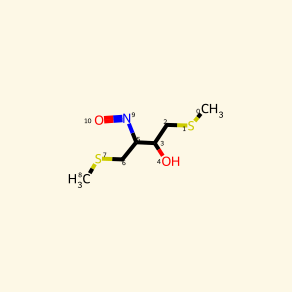 CSCC(O)C(CSC)N=O